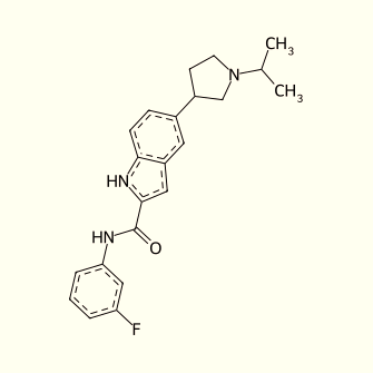 CC(C)N1CCC(c2ccc3[nH]c(C(=O)Nc4cccc(F)c4)cc3c2)C1